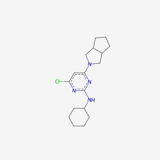 Clc1cc(N2CC3CCCC3C2)nc(NC2CCCCC2)n1